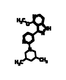 COc1nccc2[nH]nc(-c3ccnc(N4CC(C)CC(C)C4)c3)c12